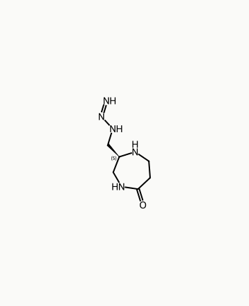 N=NNC[C@@H]1CNC(=O)CCN1